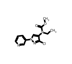 CCN(C(=O)OC)c1cn(-c2cccnc2)nc1Cl